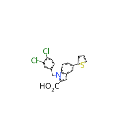 O=C(O)c1cc2cc(-c3cccs3)ccc2n1Cc1ccc(Cl)c(Cl)c1